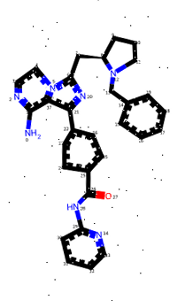 Nc1nccn2c(C[C@H]3CCCN3Cc3ccccc3)nc(-c3ccc(C(=O)Nc4ccccn4)cc3)c12